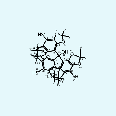 CC1(C)Oc2c(S)c3c(c(C(O)(c4c5c(c(S)c6c4OC(C)(C)O6)OC(C)(C)O5)c4c5c(c(S)c6c4OC(C)(C)O6)OC(C)(C)O5)c2O1)OC(C)(C)O3